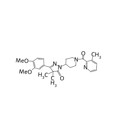 COc1ccc(C2=NN(C3CCN(C(=O)c4ncccc4C)CC3)C(=O)C2(C)C)cc1OC